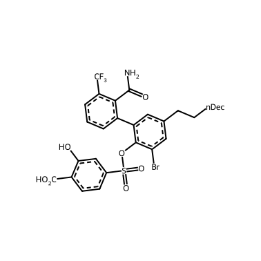 CCCCCCCCCCCCc1cc(Br)c(OS(=O)(=O)c2ccc(C(=O)O)c(O)c2)c(-c2cccc(C(F)(F)F)c2C(N)=O)c1